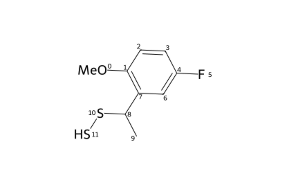 COc1ccc(F)cc1C(C)SS